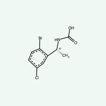 C[C@@H](NC(=O)O)c1cc(Cl)ccc1Br